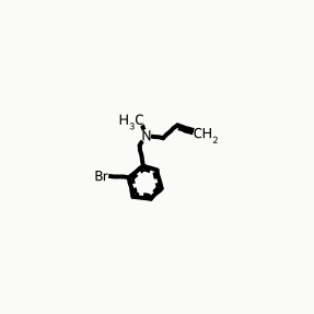 C=CCN(C)Cc1ccccc1Br